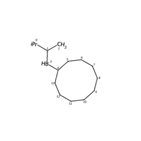 CC(C)C(C)BC1CCCCCCCCC1